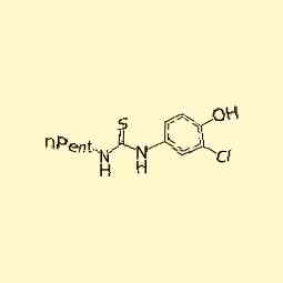 CCCCCNC(=S)Nc1ccc(O)c(Cl)c1